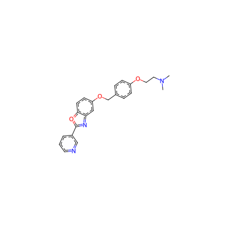 CN(C)CCOc1ccc(COc2ccc3oc(-c4cccnc4)nc3c2)cc1